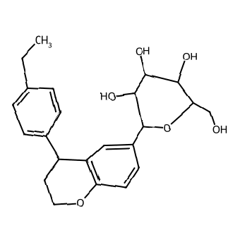 CCc1ccc(C2CCOc3ccc(C4OC(CO)C(O)C(O)C4O)cc32)cc1